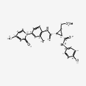 COCC1[C@@H](C(=O)Nc2ccc(-n3ccc(O)cc3=O)cc2F)[C@H]1C(=O)Nc1ccc(Cl)cc1